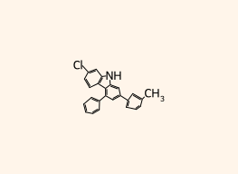 Cc1cccc(-c2cc(-c3ccccc3)c3c(c2)[nH]c2cc(Cl)ccc23)c1